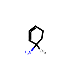 CC1(N)C=C=CCC1